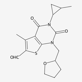 Cc1c(C=O)sc2c1c(=O)n(C1CC1C)c(=O)n2CC1CCCO1